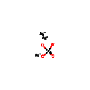 O=[As]([O-])([O-])[O-].[Ag+].[Ag+].[Ag+]